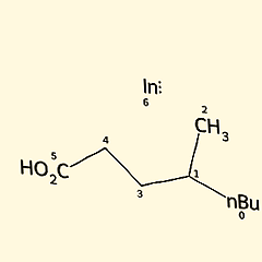 CCCCC(C)CCC(=O)O.[In]